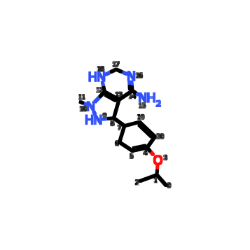 CC(C)OC1=CCC(C2NN(C)C3=C2C(N)=NCN3)C=C1